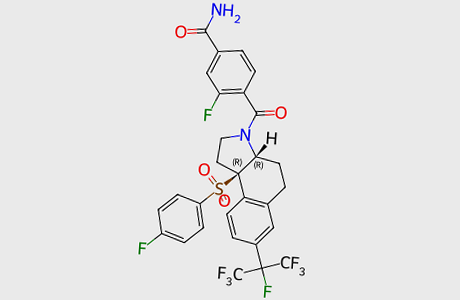 NC(=O)c1ccc(C(=O)N2CC[C@@]3(S(=O)(=O)c4ccc(F)cc4)c4ccc(C(F)(C(F)(F)F)C(F)(F)F)cc4CC[C@@H]23)c(F)c1